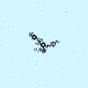 CC(=O)N1CCN(CCOc2ccc(NC(=O)COc3ccc(OC(F)(F)F)cc3)cc2-c2ccnn2C)CC1